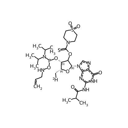 [2H]C[C@H]1O[C@@H](n2cnc3c(=O)[nH]c(NC(=O)C(C)C)nc32)C(OC(=S)N2CCS(=O)(=O)CC2)[C@H]1OP(ONCC=C)N(C(C)C)C(C)C